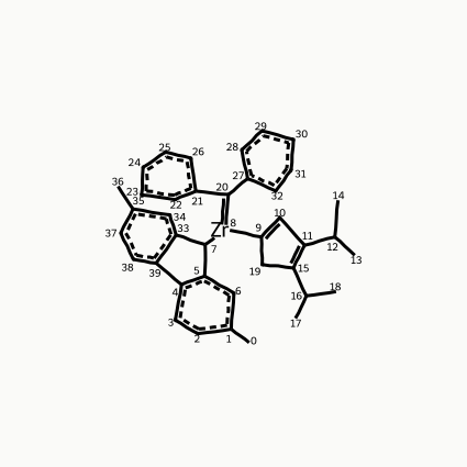 Cc1ccc2c(c1)[CH]([Zr]([C]1=CC(C(C)C)=C(C(C)C)C1)=[C](c1ccccc1)c1ccccc1)c1cc(C)ccc1-2